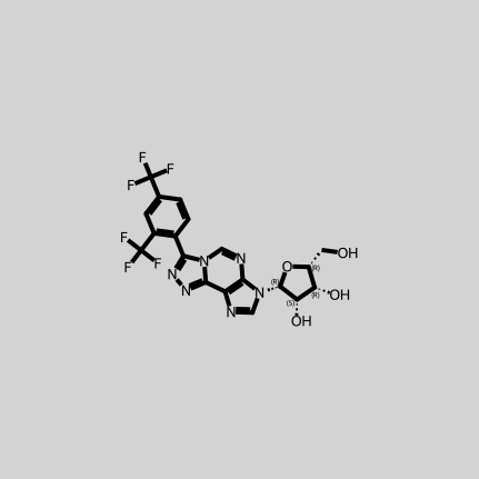 OC[C@H]1O[C@@H](n2cnc3c2ncn2c(-c4ccc(C(F)(F)F)cc4C(F)(F)F)nnc32)[C@@H](O)[C@H]1O